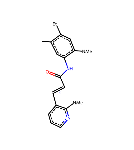 CCc1cc(NC)c(NC(=O)/C=C/c2cccnc2NC)cc1C